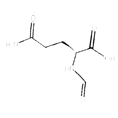 NC(=O)CC[C@H](NC=O)C(=O)O